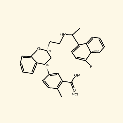 Cc1ccc([C@H]2C[C@@H](CCNC(C)c3ccc(F)c4ccccc34)Oc3ccccc32)cc1C(=O)O.Cl